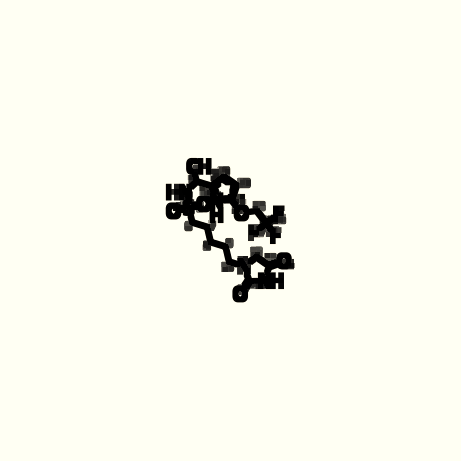 CC(NS(=O)(=O)CCCCCN1CC(=O)NC1=O)c1ccc(OCC(F)(F)F)[nH]1